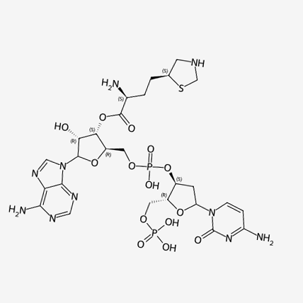 Nc1ccn(C2C[C@H](OP(=O)(O)OC[C@H]3OC(n4cnc5c(N)ncnc54)[C@H](O)[C@@H]3OC(=O)[C@@H](N)CC[C@H]3CNCS3)[C@@H](COP(=O)(O)O)O2)c(=O)n1